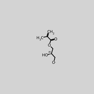 C=C(C)C(=O)OC[C@H](O)C[O]